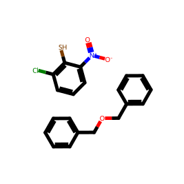 O=[N+]([O-])c1cccc(Cl)c1S.c1ccc(COCc2ccccc2)cc1